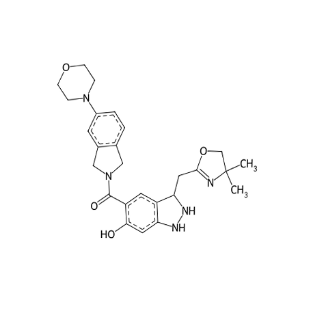 CC1(C)COC(CC2NNc3cc(O)c(C(=O)N4Cc5ccc(N6CCOCC6)cc5C4)cc32)=N1